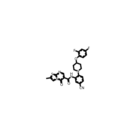 Cc1cn2c(=O)c(C(=O)Nc3cc(C#N)ccc3N3CCC(Oc4ccc(F)cc4F)CC3)cnc2s1